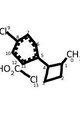 CC1CCC1c1ccc(Cl)cc1.O=C(O)Cl